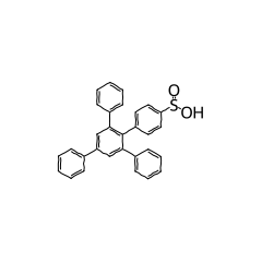 O=S(O)c1ccc(-c2c(-c3ccccc3)cc(-c3ccccc3)cc2-c2ccccc2)cc1